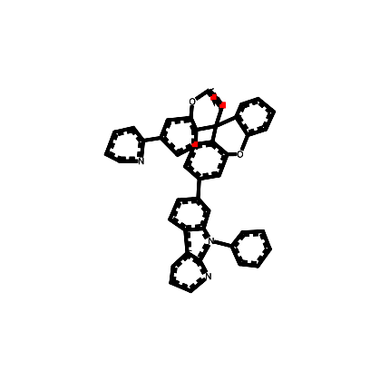 c1ccc(-n2c3cc(-c4ccc5c(c4)Oc4ccccc4C54c5ccccc5Oc5cc(-c6ccccn6)ccc54)ccc3c3cccnc32)cc1